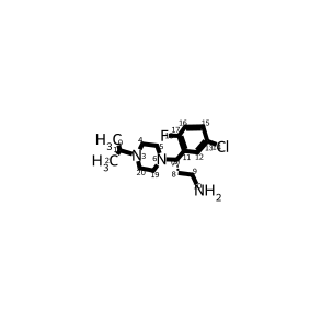 CC(C)N1CCN([C@@H](CCN)c2cc(Cl)ccc2F)CC1